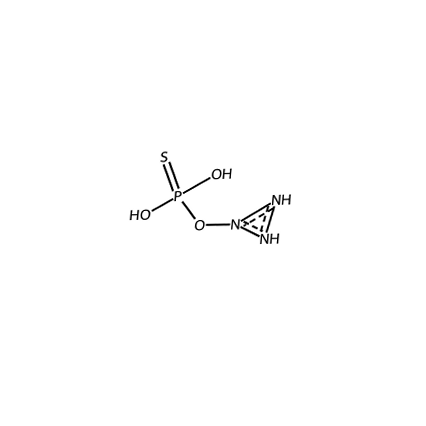 OP(O)(=S)On1[nH][nH]1